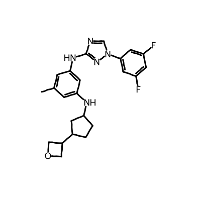 Cc1cc(Nc2ncn(-c3cc(F)cc(F)c3)n2)cc(NC2CCC(C3COC3)C2)c1